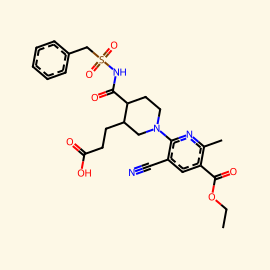 CCOC(=O)c1cc(C#N)c(N2CCC(C(=O)NS(=O)(=O)Cc3ccccc3)C(CCC(=O)O)C2)nc1C